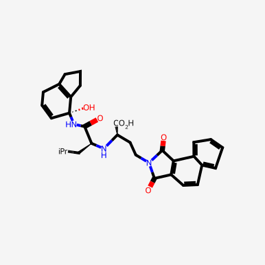 CC(C)C[C@H](N[C@H](CCN1C(=O)c2ccc3ccccc3c2C1=O)C(=O)O)C(=O)N[C@@]1(O)C=CCC2=C1CCC2